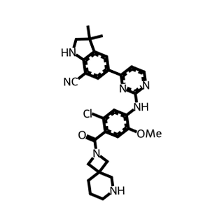 COc1cc(C(=O)N2CC3(CCCNC3)C2)c(Cl)cc1Nc1nccc(-c2cc(C#N)c3c(c2)C(C)(C)CN3)n1